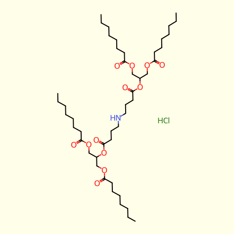 CCCCCCCC(=O)OCC(COC(=O)CCCCCCC)OC(=O)CCCNCCCC(=O)OC(COC(=O)CCCCCCC)COC(=O)CCCCCCC.Cl